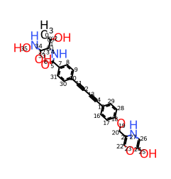 C[C@@H](O)[C@H](NC(=O)c1ccc(C#CC#Cc2ccc(OCC3=COC(O)=CN3)cc2)cc1)C(O)NO